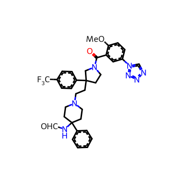 COc1ccc(-n2cnnn2)cc1C(=O)N1CCC(CCN2CCC(NC=O)(c3ccccc3)CC2)(c2ccc(C(F)(F)F)cc2)C1